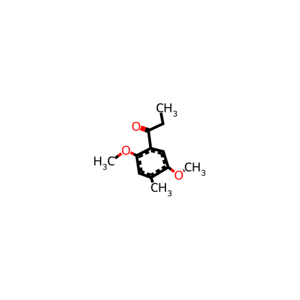 CCC(=O)c1cc(OC)c(C)cc1OC